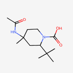 CC(=O)NC1(C)CCN(C(=O)O)C(C(C)(C)C)C1